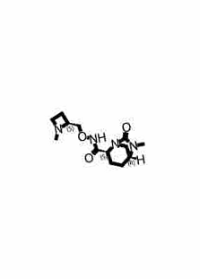 CN1CC[C@H]1CONC(=O)[C@@H]1CC[C@@H]2CN1C(=O)N2C